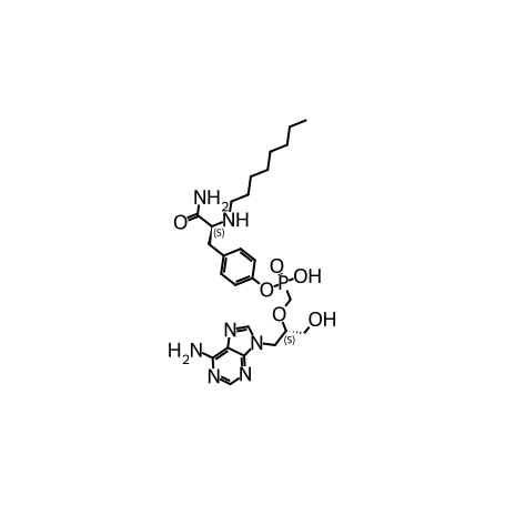 CCCCCCCCN[C@@H](Cc1ccc(OP(=O)(O)CO[C@H](CO)Cn2cnc3c(N)ncnc32)cc1)C(N)=O